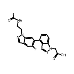 CC(=O)NCCn1ncc2cc(F)c(-c3cccc4c3cnn4CC(=O)O)cc21